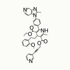 CCOC(=O)C1=C(c2ccc(-n3c(C)nc4cnccc43)cc2)NC(C)=C(C(=O)OCC#Cc2cccnc2)C1CCc1ccccc1OC